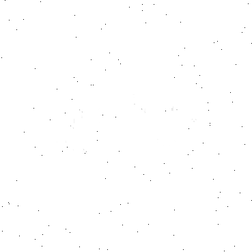 COc1cccc(CN(C)C(=O)C=Cc2cnc3c(c2)CNC(C)(C)C(=O)N3)c1OCC(C)C